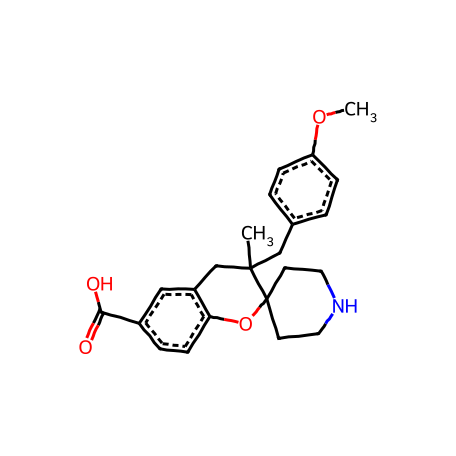 COc1ccc(CC2(C)Cc3cc(C(=O)O)ccc3OC23CCNCC3)cc1